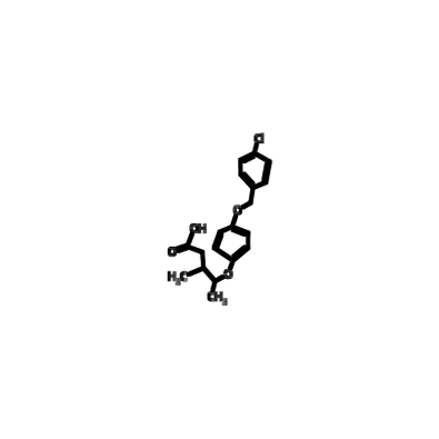 CC(CC(=O)O)C(C)Oc1ccc(OCc2ccc(Cl)cc2)cc1